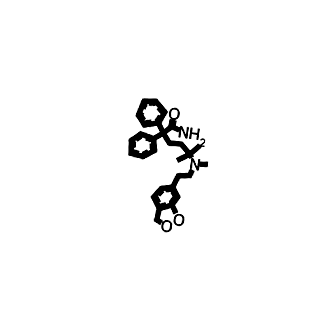 CN(CCc1ccc2c(c1)OOC2)C(C)(C)CCC(C(N)=O)(c1ccccc1)c1ccccc1